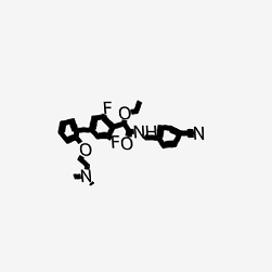 CCOC(C(=O)NCc1ccc(C#N)cc1)c1c(F)cc(-c2ccccc2OCCN(C)C)cc1F